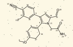 COC1=CC=C(c2c(-c3ccc(C#N)c(F)c3)cc(C=O)n2CC(N)=O)CC1